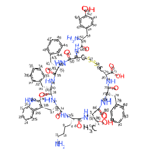 C[C@@H](O)[C@@H]1NC(=O)[C@H](CCCCN)NC(=O)[C@H](Cc2c[nH]c3ccccc23)NC(=O)[C@H](Cc2ccccc2)NC(=O)[C@H](Cc2ccccc2)NC(=O)[C@@H](NC(=O)[C@@H](N)Cc2ccc(O)cc2)CSSC[C@@H](C(=O)O)NC(=O)[C@H](Cc2ccccc2)NC1=O